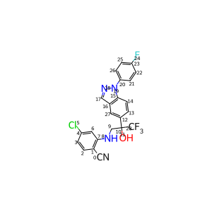 N#Cc1ccc(Cl)cc1NCC(O)(c1ccc2c(cnn2-c2ccc(F)cc2)c1)C(F)(F)F